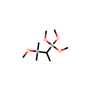 CO[Si](C)(C)C(C)[Si](OC)(OC)OC